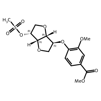 COC(=O)c1ccc(O[C@H]2CO[C@H]3[C@@H]2OC[C@H]3OS(C)(=O)=O)c(OC)c1